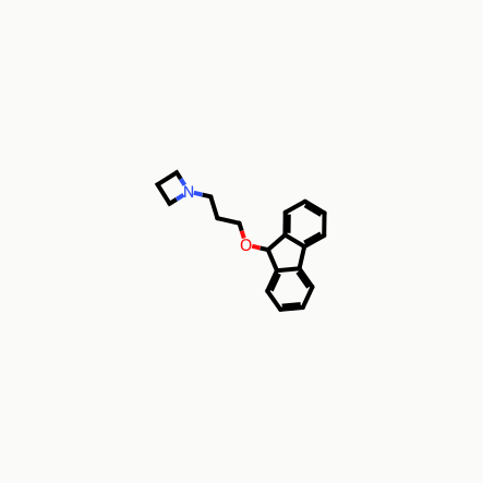 c1ccc2c(c1)-c1ccccc1C2OCCCN1CCC1